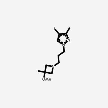 COC1(C)CN(CCCn2cc(I)c(C)n2)C1